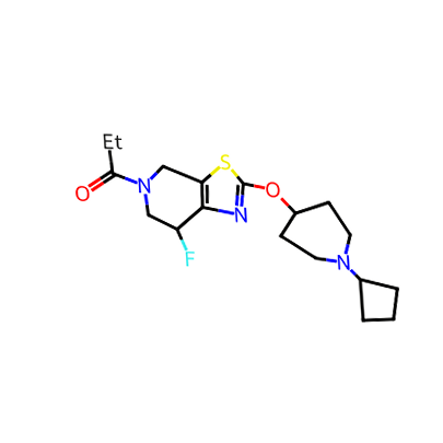 CCC(=O)N1Cc2sc(OC3CCN(C4CCC4)CC3)nc2C(F)C1